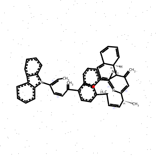 C=C(/C=C\C(=C/C)n1c2ccccc2c2ccccc21)c1ccc(C(=C)/C=C\[C@@H](C)C(=C/C(=C)C2C=CC=C3C=CC=C[C@H]32)/N=C(\N)c2ccccc2)cc1